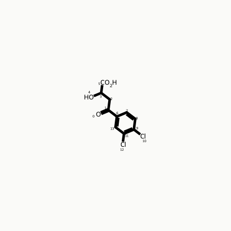 O=C(CC(O)C(=O)O)c1ccc(Cl)c(Cl)c1